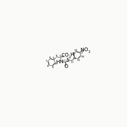 O=C(N[C@@H](Cc1ccccc1)C(=O)O)SCc1ccc([N+](=O)[O-])cc1